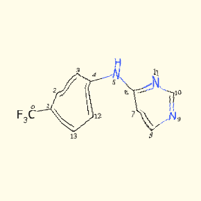 FC(F)(F)c1ccc(Nc2ccncn2)cc1